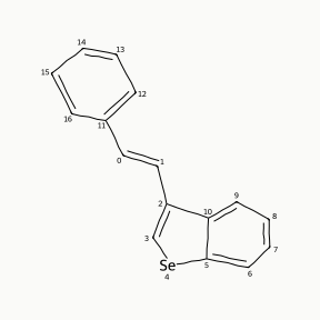 C(=Cc1c[se]c2ccccc12)c1ccccc1